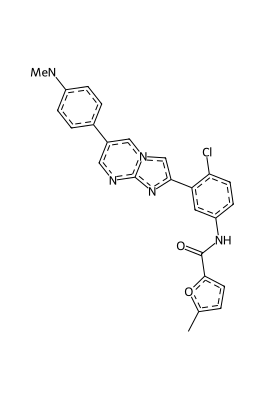 CNc1ccc(-c2cnc3nc(-c4cc(NC(=O)c5ccc(C)o5)ccc4Cl)cn3c2)cc1